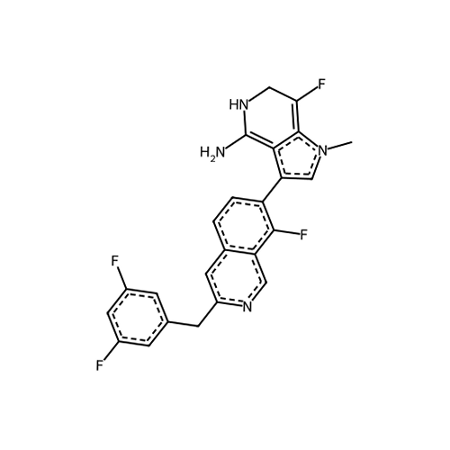 Cn1cc(-c2ccc3cc(Cc4cc(F)cc(F)c4)ncc3c2F)c2c1=C(F)CNC=2N